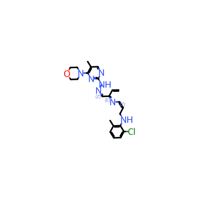 C=CC(/C=N\Nc1ncc(C)c(N2CCOCC2)n1)=N\C=C/CNc1c(C)cccc1Cl